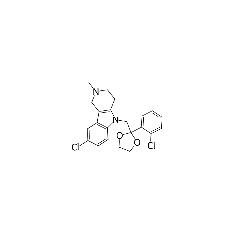 CN1CCc2c(c3cc(Cl)ccc3n2CC2(c3ccccc3Cl)OCCO2)C1